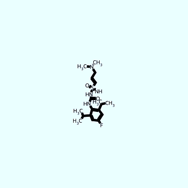 CC(C)c1cc(F)cc(C(C)C)c1NC(=O)NS(=N)(=O)/C=C/CN(C)C